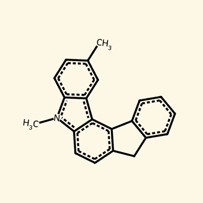 Cc1ccc2c(c1)c1c3c(ccc1n2C)Cc1ccccc1-3